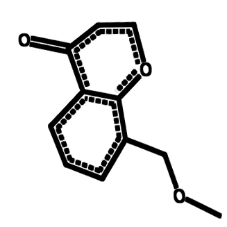 COCc1cccc2c(=O)ccoc12